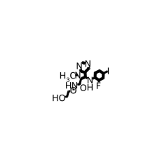 Cn1c(C(=O)NOCCO)c(Nc2ccc(I)cc2F)c2cncnc21